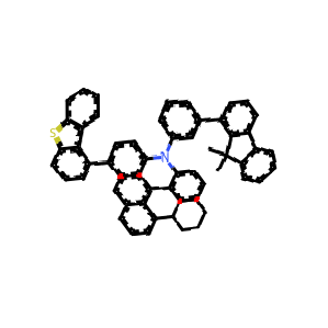 CC1(C)c2ccccc2-c2cccc(-c3cccc(N(c4ccc(-c5cccc6sc7ccccc7c56)cc4)c4ccccc4-c4cccc5cccc(C6CCCCC6)c45)c3)c21